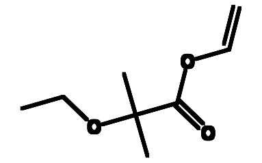 C=COC(=O)C(C)(C)OCC